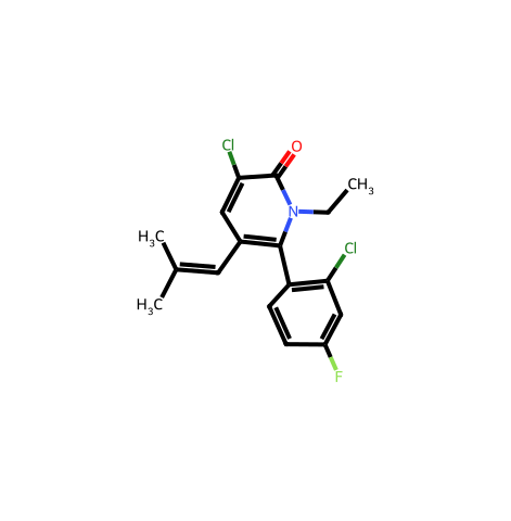 CCn1c(-c2ccc(F)cc2Cl)c(C=C(C)C)cc(Cl)c1=O